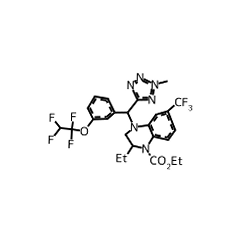 CCOC(=O)N1c2ccc(C(F)(F)F)cc2N(C(c2cccc(OC(F)(F)C(F)F)c2)c2nnn(C)n2)CC1CC